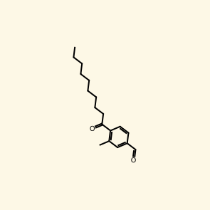 CCCCCCCCCC(=O)c1ccc(C=O)cc1C